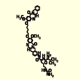 COc1cc2c(cc1OCCCCCOc1cc3c(cc1OC)C(=O)N1Cc4cc(NC(=O)[C@H](CCCCNC(N)=O)NC(=O)[C@@H](N)C(C)C)ccc4C[C@H]1C=N3)N=C[C@@H]1Cc3ccccc3CN1C2=O